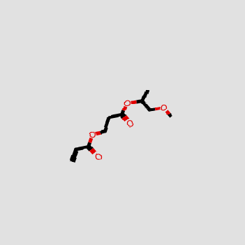 C=CC(=O)OCCC(=O)OC(C)COC